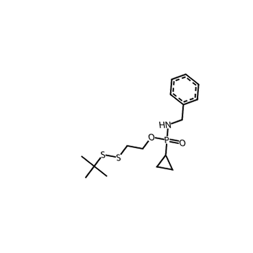 CC(C)(C)SSCCOP(=O)(NCc1ccccc1)C1CC1